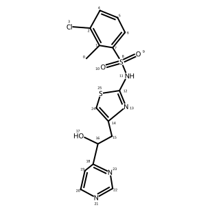 Cc1c(Cl)cccc1S(=O)(=O)Nc1nc(CC(O)c2ccncn2)cs1